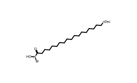 CCCCCCCCCCCCCCCCCCCCCCCCCCCC(=O)N(O)Br